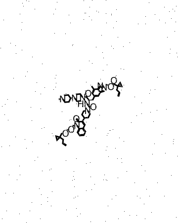 C=CCC1(COCOCn2c(=O)c(C3CCN(C(=O)N[C@H](Cc4cc(C)c5nn(COC(=O)C6(CC=C)CC6)cc5c4)C(=O)N4CCN(C5CCN(C)CC5)CC4)CC3)cc3ccccc32)CC1